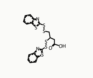 O=C(O)CC(CSSc1nc2ccccc2s1)SSc1nc2ccccc2s1